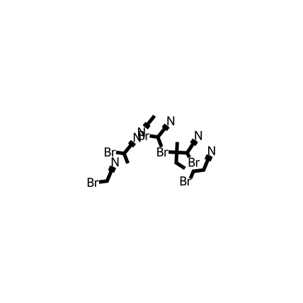 CC#N.CC(Br)C#N.CC(Br)C#N.CCC(C)(Br)C(Br)C#N.N#CCBr.N#CCCBr